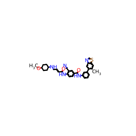 COC1CCC(NC/C=C/C(=O)Nc2ccc(C(=O)Nc3cccc(-c4cc5ncsc5cc4C)c3)cc2C#N)CC1